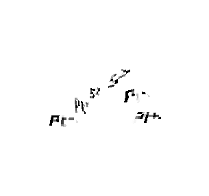 [Pt+].[Pt+].[Pt+].[Pt+].[S-2].[S-2]